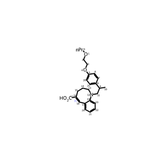 CCCOCCOc1ccc(C(C)CN2CCC/C(C(=O)O)=C\c3ccccc32)cc1